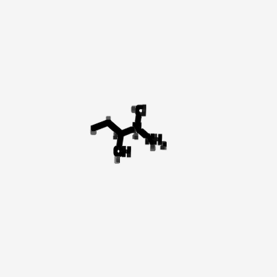 CCC(O)N(N)Cl